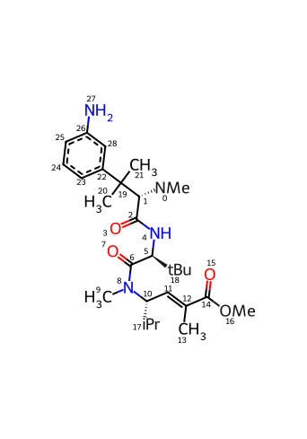 CN[C@H](C(=O)N[C@H](C(=O)N(C)[C@H](/C=C(\C)C(=O)OC)C(C)C)C(C)(C)C)C(C)(C)c1cccc(N)c1